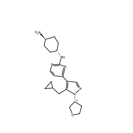 N[C@H]1CC[C@H](Nc2nccc(-c3cnn([C@@H]4CCOC4)c3CC3CC3)n2)CC1